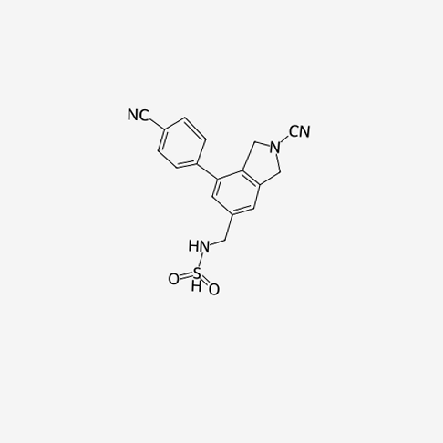 N#Cc1ccc(-c2cc(CN[SH](=O)=O)cc3c2CN(C#N)C3)cc1